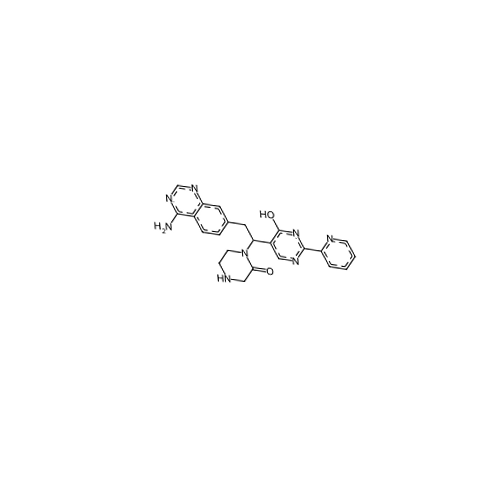 Nc1ncnc2cc(CC(c3cnc(-c4ccccn4)nc3O)N3CCNCC3=O)ccc12